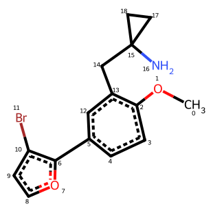 COc1ccc(-c2occc2Br)cc1CC1(N)CC1